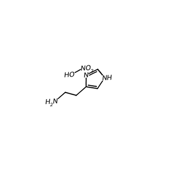 NCCc1c[nH]cn1.O=[N+]([O-])O